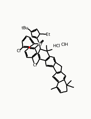 Cl.Cl.[CH2]=[Zr]([C]1=CC(C(C)(C)C)=CC1CC)([c]1cccc(Cl)c1)([c]1cccc(Cl)c1)[CH]1C=C(C)c2cc3c(cc2C1(C)C)Cc1cc2c(cc1-3)C(C)=CCC2(C)C